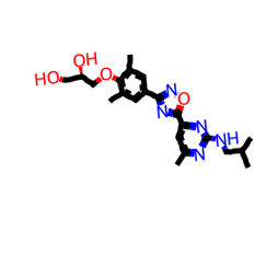 Cc1cc(-c2nc(-c3cc(C)c(OC[C@H](O)CO)c(C)c3)no2)nc(NCC(C)C)n1